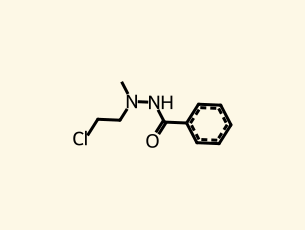 CN(CCCl)NC(=O)c1ccccc1